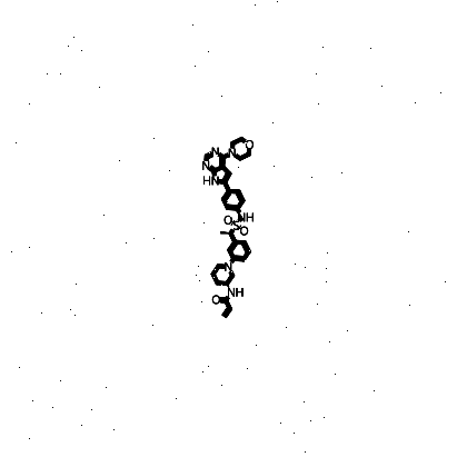 C=CC(=O)N[C@@H]1CCCN(c2cccc([C@@H](C)S(=O)(=O)Nc3ccc(-c4cc5c(N6CCOCC6)ncnc5[nH]4)cc3)c2)C1